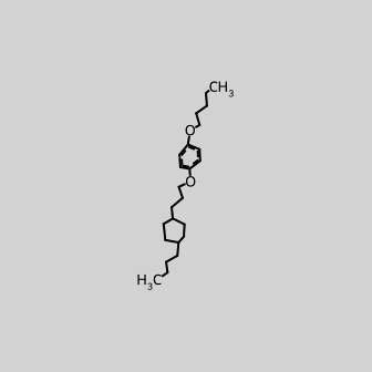 CCCCCOc1ccc(OCCCC2CCC(CCCC)CC2)cc1